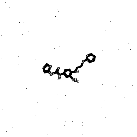 Nc1cc(NC(=O)Oc2ccco2)ccc1NCCOc1ccccc1